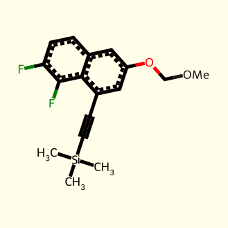 COCOc1cc(C#C[Si](C)(C)C)c2c(F)c(F)ccc2c1